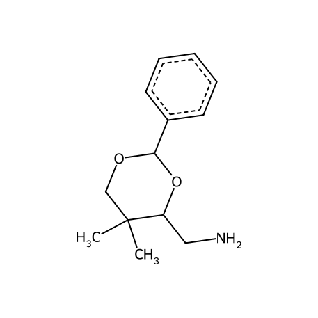 CC1(C)COC(c2ccccc2)OC1CN